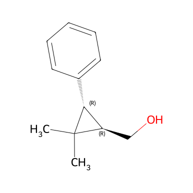 CC1(C)[C@H](CO)[C@H]1c1ccccc1